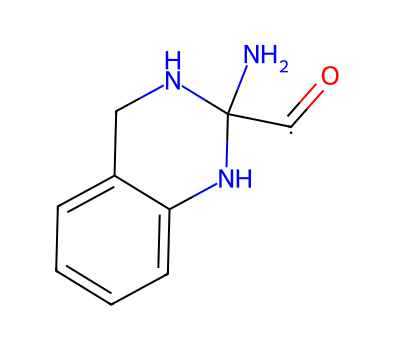 NC1([C]=O)NCc2ccccc2N1